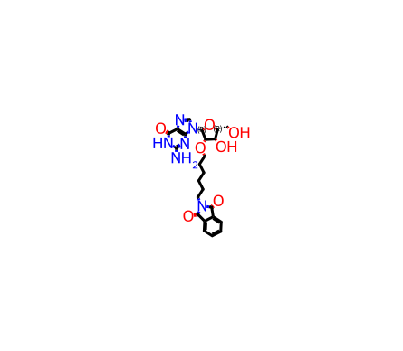 Nc1nc2c(ncn2[C@@H]2O[C@H](CO)C(O)C2OCCCCCCN2C(=O)c3ccccc3C2=O)c(=O)[nH]1